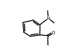 [CH2]C(=O)c1ccccc1N(C)C